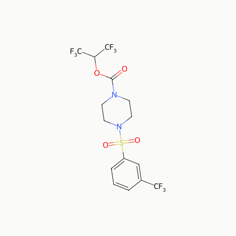 O=C(OC(C(F)(F)F)C(F)(F)F)N1CCN(S(=O)(=O)c2cccc(C(F)(F)F)c2)CC1